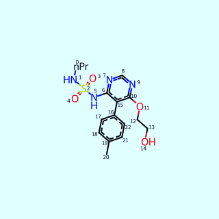 CCCNS(=O)(=O)Nc1ncnc(OCCO)c1-c1ccc(C)cc1